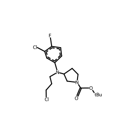 CC(C)(C)OC(=O)N1CCC(N(CCCCl)c2ccc(F)c(Cl)c2)C1